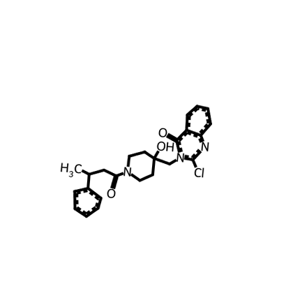 CC(CC(=O)N1CCC(O)(Cn2c(Cl)nc3ccccc3c2=O)CC1)c1ccccc1